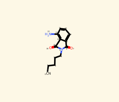 N#CCCCCN1C(=O)c2cccc(N)c2C1=O